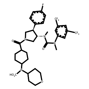 CN(C(=O)N(C)[C@@H]1CN(C(=O)C2CCC(N(C(=O)O)C3CCOCC3)CC2)C[C@H]1c1ccc(F)cc1)c1cc(C(F)(F)F)cc(C(F)(F)F)c1